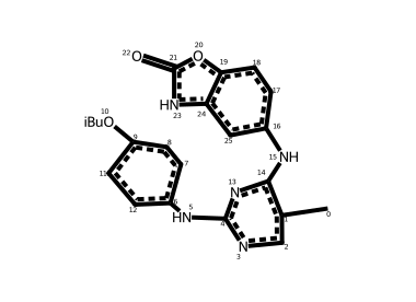 Cc1cnc(Nc2ccc(OCC(C)C)cc2)nc1Nc1ccc2oc(=O)[nH]c2c1